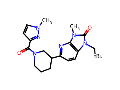 Cn1ccc(C(=O)N2CCCC(c3ccc4c(n3)n(C)c(=O)n4CC(C)(C)C)C2)n1